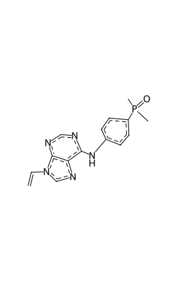 C=Cn1cnc2c(Nc3ccc(P(C)(C)=O)cc3)ncnc21